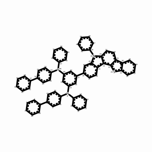 c1ccc(-c2ccc(N(c3ccccc3)c3cc(-c4ccc5c6c7sc8ccccc8c7ccc6n(-c6ccccc6)c5c4)cc(N(c4ccccc4)c4ccc(-c5ccccc5)cc4)c3)cc2)cc1